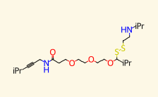 CC(C)C#CCNC(=O)CCOCCOCCOC(SSCCNC(C)C)C(C)C